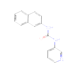 O=C(Nc1cccnc1)Nc1ccc2ccccc2c1